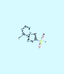 [CH2]c1cccc2cc(S(C)(=O)=O)ccc12